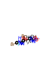 COc1cc2c(Nc3ccc(Br)cc3F)ncnc2cc1OCC1CC[N+](C)(Cc2c([N+](=O)[O-])ncn2C)CC1.[Br-]